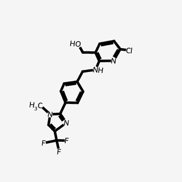 Cn1cc(C(F)(F)F)nc1-c1ccc(CNc2nc(Cl)ccc2CO)cc1